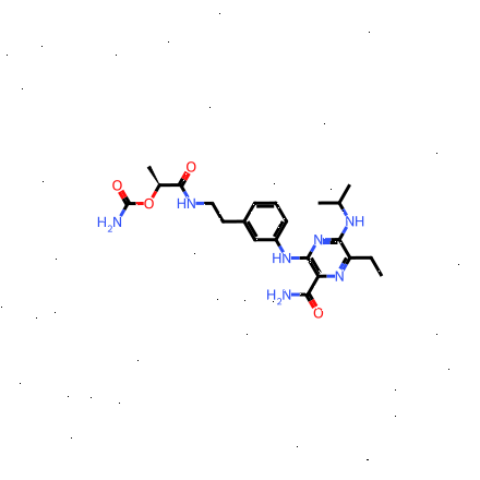 CCc1nc(C(N)=O)c(Nc2cccc(CCNC(=O)[C@H](C)OC(N)=O)c2)nc1NC(C)C